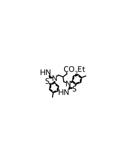 CCOC(=O)CC(Cn1c(=N)sc2cc(C)ccc21)Cn1c(=N)sc2cc(C)ccc21